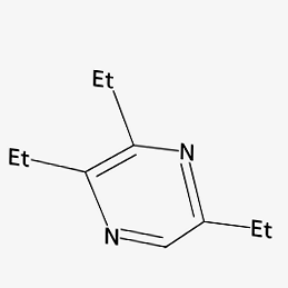 CCc1cnc(CC)c(CC)n1